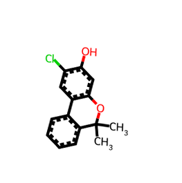 CC1(C)Oc2cc(O)c(Cl)cc2-c2ccccc21